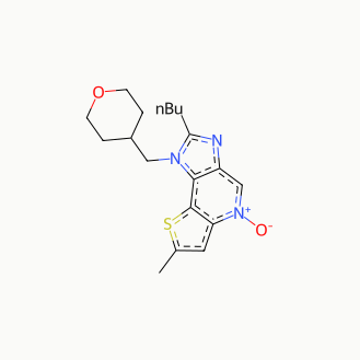 CCCCc1nc2c[n+]([O-])c3cc(C)sc3c2n1CC1CCOCC1